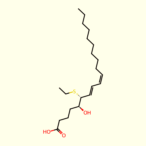 CCCCCCCCC/C=C\C=C\[C@@H](SCC)[C@@H](O)CCCC(=O)O